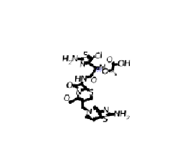 C[C@H](O/N=C(\C(=O)NC1C(=O)N2C(C=O)=C(C[n+]3ccc4sc(N)nc4c3)CSC12)c1nc(N)sc1Cl)C(=O)O